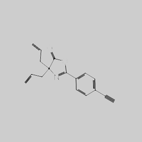 C#Cc1ccc(C2=NC(CC=C)(CC=C)C(=O)O2)cc1